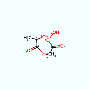 CC(=O)OO.CC(O)C(=O)O